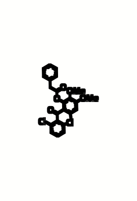 COc1cc(C)c(C(=O)c2c(Cl)cccc2Cl)c(OC(=O)Cc2ccccc2)c1OC